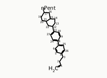 C=CCCc1ccc(-c2ccc(C3CCC4CC(CCCCC)CCC4C3)cc2)cc1